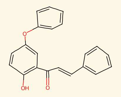 O=C(/C=C/c1ccccc1)c1cc(Oc2ccccc2)ccc1O